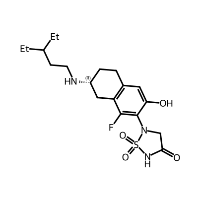 CCC(CC)CCN[C@@H]1CCc2cc(O)c(N3CC(=O)NS3(=O)=O)c(F)c2C1